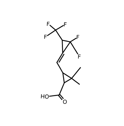 CC1(C)C(C=C2C(C(F)(F)F)C2(F)F)C1C(=O)O